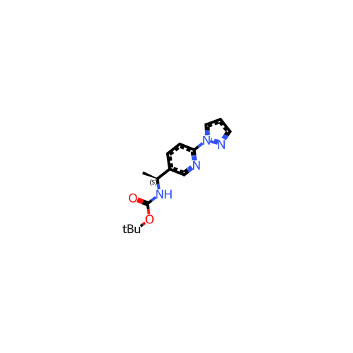 C[C@H](NC(=O)OC(C)(C)C)c1ccc(-n2cccn2)nc1